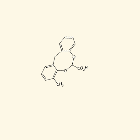 Cc1cccc2c1OC(C(=O)O)Oc1ccccc1C2